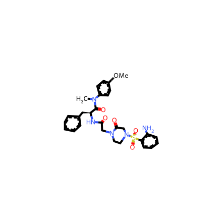 COc1ccc(N(C)C(=O)[C@H](Cc2ccccc2)NC(=O)CN2CCN(S(=O)(=O)c3ccccc3N)CC2=O)cc1